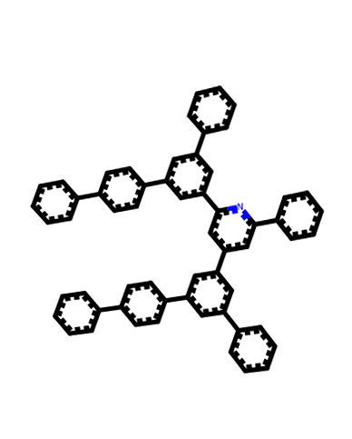 c1ccc(-c2ccc(-c3cc(-c4ccccc4)cc(-c4cc(-c5ccccc5)nc(-c5cc(-c6ccccc6)cc(-c6ccc(-c7ccccc7)cc6)c5)c4)c3)cc2)cc1